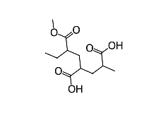 CCC(CC(CC(C)C(=O)O)C(=O)O)C(=O)OC